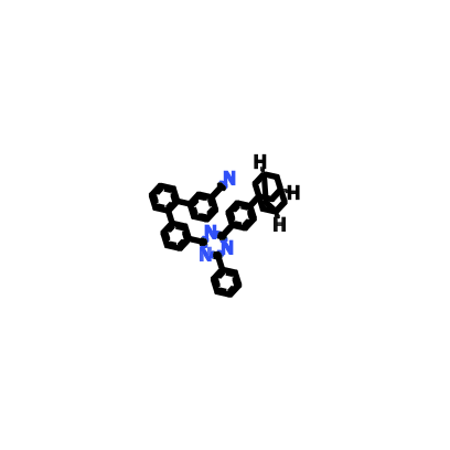 N#Cc1cccc(-c2ccccc2-c2cccc(-c3nc(-c4ccccc4)nc(-c4ccc(C56C[C@H]7C[C@H](C5)C[C@@H](C6)C7)cc4)n3)c2)c1